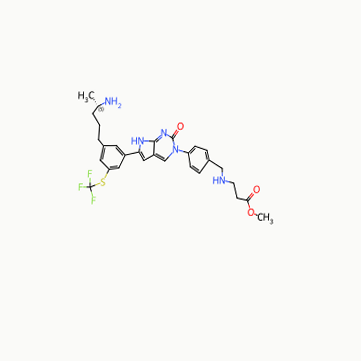 COC(=O)CCNCc1ccc(-n2cc3cc(-c4cc(CCC[C@H](C)N)cc(SC(F)(F)F)c4)[nH]c3nc2=O)cc1